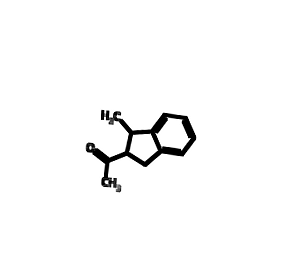 CC(=O)C1Cc2ccccc2C1C